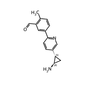 Cc1ccc(-c2ccc([C@@H]3C[C@H]3N)cn2)cc1C=O